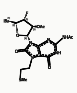 CC[C@H](C)[C@H]1O[C@@H](n2c(=O)n(CCSC)c3c(=O)[nH]c(NC(C)=O)nc32)[C@H](OC(C)=O)[C@H]1F